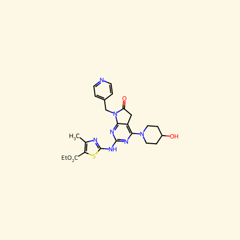 CCOC(=O)c1sc(Nc2nc(N3CCC(O)CC3)c3c(n2)N(Cc2ccncc2)C(=O)C3)nc1C